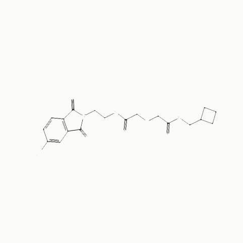 Cc1ccc2c(c1)C(=O)N(CCNC(=O)CSCC(=O)NCC1CCC1)C2=O